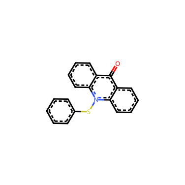 O=c1c2ccccc2n(Sc2ccccc2)c2ccccc12